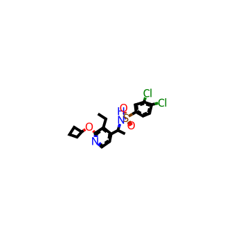 CCc1c(C(C)NS(=O)(=O)c2ccc(Cl)c(Cl)c2)ccnc1OC1CCC1